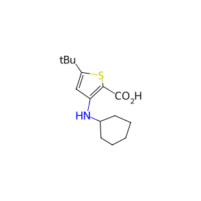 CC(C)(C)c1cc(NC2CCCCC2)c(C(=O)O)s1